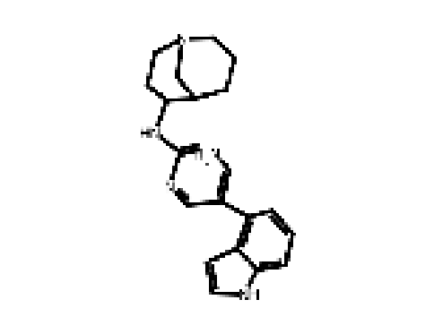 C=C(/N=C\C(=C/N)c1cccc2[nH]ccc12)NC1CCN2CCCC1C2